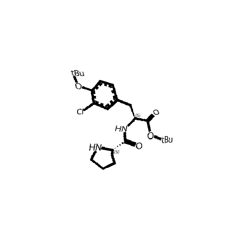 CC(C)(C)OC(=O)[C@H](Cc1ccc(OC(C)(C)C)c(Cl)c1)NC(=O)[C@@H]1CCCN1